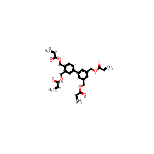 C=CC(=O)OCc1cc(COC(=O)C=C)cc(-c2ccc(COC(=O)C=C)c(COC(=O)C=C)c2)c1